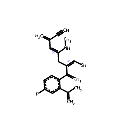 C#CC(=C)/C=C(/C/C(=C/S)C(=C)c1ccc(F)cc1C(=C)C)NC